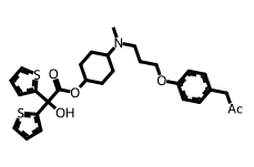 CC(=O)Cc1ccc(OCCCN(C)C2CCC(OC(=O)C(O)(c3cccs3)c3cccs3)CC2)cc1